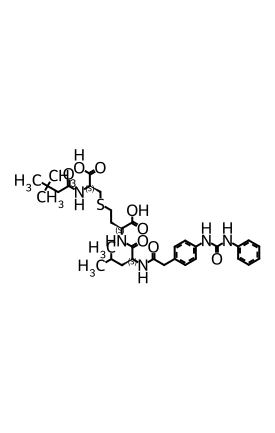 CC(C)C[C@H](NC(=O)Cc1ccc(NC(=O)Nc2ccccc2)cc1)C(=O)N[C@@H](CCSC[C@@H](NC(=O)CC(C)(C)C)C(=O)O)C(=O)O